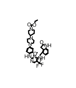 CCOC(=O)N1CCC(N2CCN(c3ccc(Nc4ncc(C(F)(F)F)c(NCc5cccc6c5CC(=O)N6)n4)c(OC)c3)CC2)CC1